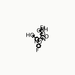 CCNC(=O)c1cc2c(-c3cc(C(C)(C)O)cnc3Oc3ccc(F)cc3)cn(C)c(=O)c2o1